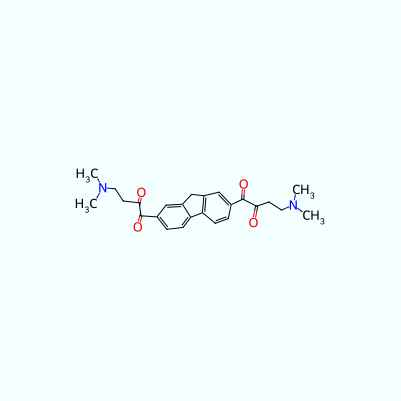 CN(C)CCC(=O)C(=O)c1ccc2c(c1)Cc1cc(C(=O)C(=O)CCN(C)C)ccc1-2